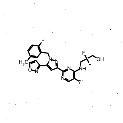 Cc1ccc(F)c(Cn2nc(-c3ncc(F)c(NCC(F)(F)CO)n3)cc2-c2ccon2)c1